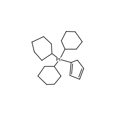 C1=CC[C]([Pt]([CH]2CCCCC2)([CH]2CCCCC2)[CH]2CCCCC2)=C1